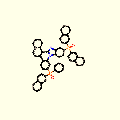 O=P(c1ccc2ccccc2c1)(c1ccc2ccccc2c1)c1ccc2c(c1)nc1c3c4ccccc4ccc3c3ccc(P(=O)(c4ccccc4)c4ccc5ccccc5c4)cc3n21